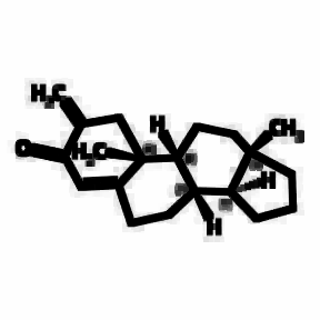 C=C1C[C@@]2(C)C(=CC1=O)CC[C@@H]1[C@H]2CC[C@]2(C)CCC[C@@H]12